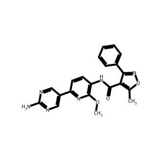 COc1nc(-c2cnc(N)nc2)ccc1NC(=O)c1c(-c2ccccc2)noc1C